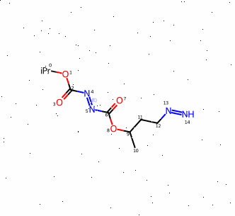 CC(C)OC(=O)/N=N/C(=O)OC(C)CCN=N